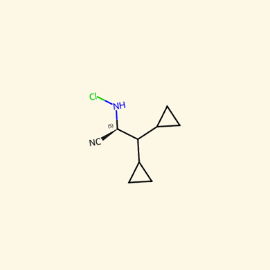 N#C[C@@H](NCl)C(C1CC1)C1CC1